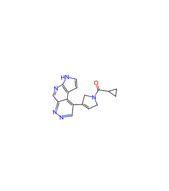 O=C(C1CC1)N1CC=C(c2cnnc3cnc4[nH]ccc4c23)C1